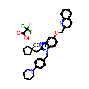 O=C(O)C(F)(F)F.O=C(O)C1(Cc2nc3cc(OCc4ccc5ccccc5n4)ccc3n2Cc2ccc(N3CCCCC3)cc2)CCCC1